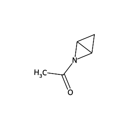 CC(=O)N1C2CC21